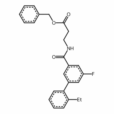 CCc1ccccc1-c1cc(F)cc(C(=O)NCCC(=O)OCc2ccccc2)c1